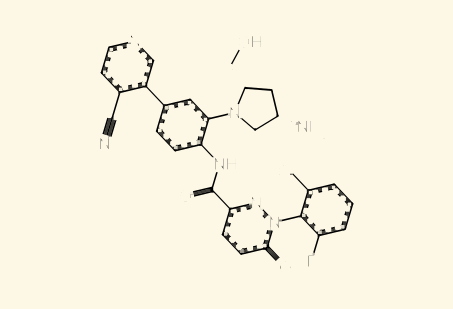 N#Cc1ccncc1-c1ccc(NC(=O)c2ccc(=O)n(-c3c(F)cccc3Cl)n2)c(N2C[C@@H](N)C[C@H]2CO)c1